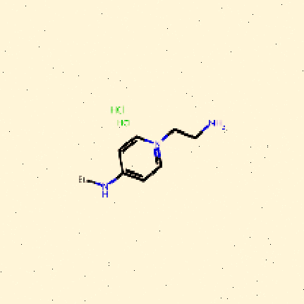 CCNc1cc[n+](CCN)cc1.Cl.Cl